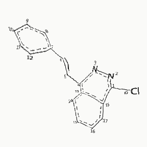 Clc1nnc(C=Cc2ccccc2)c2ccccc12